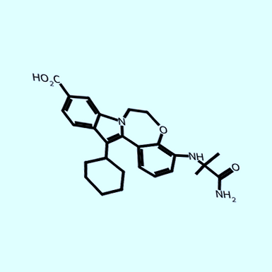 CC(C)(Nc1cccc2c1OCCn1c-2c(C2CCCCC2)c2ccc(C(=O)O)cc21)C(N)=O